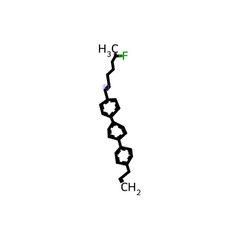 C=CCc1ccc(-c2ccc(-c3ccc(/C=C/CCCC(C)F)cc3)cc2)cc1